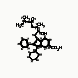 CN(C)C(=O)CN(C)C(O)Cn1c(-c2ccccc2)c(C2CCCCC2)c2cc(C(=O)O)ccc21